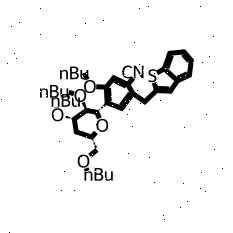 CCCCOC[C@@H]1C[C@H](OCCCC)[C@@H](OCCCC)[C@H](c2cc(Cc3cc4ccccc4s3)c(C#N)cc2OCCCC)O1